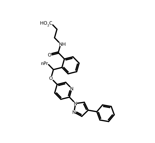 CCCC(Oc1ccc(-n2cc(-c3ccccc3)cn2)nc1)c1ccccc1C(=O)NCCC(=O)O